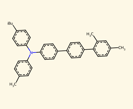 CCC(C)c1ccc(N(c2ccc(C)cc2)c2ccc(-c3ccc(-c4ccc(C)cc4C)cc3)cc2)cc1